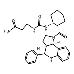 NC(=O)CCNC(=O)N[C@@H]1CCCC[C@@H]1C(=O)N1CC[C@@H]2C(c3ccccc3)Nc3ccccc3[C@@H]21